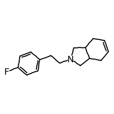 Fc1ccc(CCN2CC3CC=CCC3C2)cc1